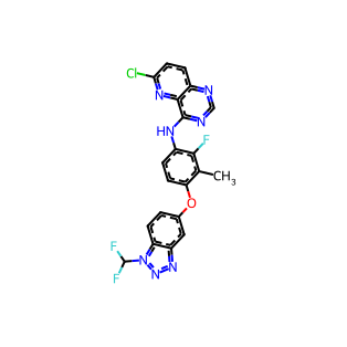 Cc1c(Oc2ccc3c(c2)nnn3C(F)F)ccc(Nc2ncnc3ccc(Cl)nc23)c1F